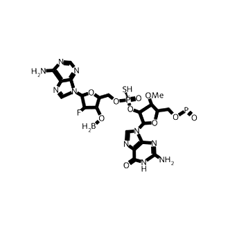 BOC1C(CO[P@@](=O)(S)OC2C(OC)C(COP=O)OC2n2cnc3c(=O)[nH]c(N)nc32)OC(n2cnc3c(N)ncnc32)C1F